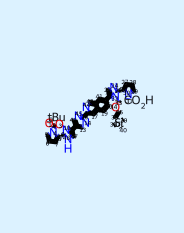 CC(C)(C)OC(=O)N1CCC[C@H]1c1nc(-c2cnc(-c3cc4ccc(-c5cnc([C@@H]6CCCN6C(=O)O)n5COCC[Si](C)(C)C)cc4cn3)nc2)c[nH]1